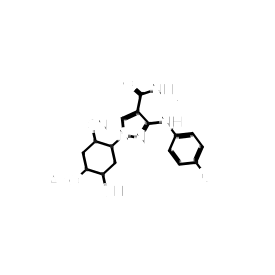 CC(=O)OC1CC(C#N)C(n2cc(C(N)=O)c(Nc3ccc(C(F)(F)F)cc3)n2)CC1O